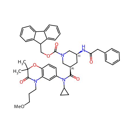 COCCCN1C(=O)C(C)(C)Oc2ccc(N(C(=O)[C@@H]3C[C@H](NC(=O)Cc4ccccc4)CN(C(=O)OCC4c5ccccc5-c5ccccc54)C3)C3CC3)cc21